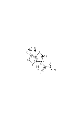 CCOC(=O)[C@H]1NC[C@H]2[C@@H]1CC[C@@]2(C)O